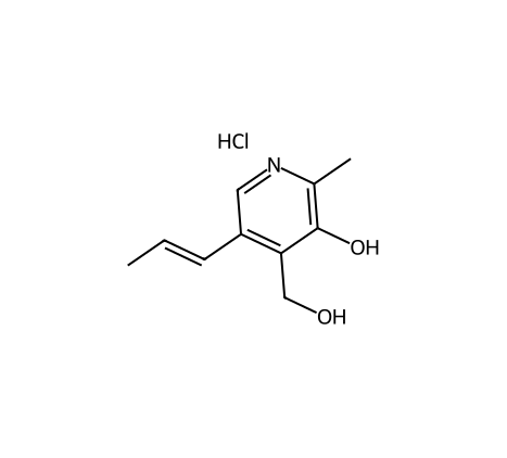 CC=Cc1cnc(C)c(O)c1CO.Cl